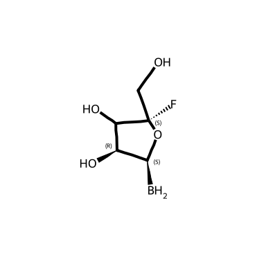 B[C@@H]1O[C@](F)(CO)C(O)[C@@H]1O